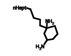 CCCCCCCCCCCC1(N)CCCC(N)C1